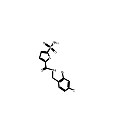 CNS(=O)(=O)c1ccc(C(=O)NCc2ccc(Cl)cc2Br)s1